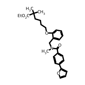 CCOC(=O)C(C)(C)CCCCOc1ccccc1CN(C)C(=O)c1ccc(-c2ccco2)cc1